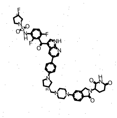 O=C1CCC(N2Cc3cc(N4CCN(C[C@H]5CCN(c6ccc(-c7cnc8[nH]cc(C(=O)c9c(F)ccc(NS(=O)(=O)N%10CC[C@@H](F)C%10)c9F)c8c7)cc6)C5)CC4)ccc3C2=O)C(=O)N1